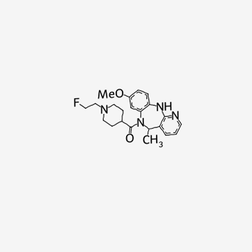 COc1ccc2c(c1)N(C(=O)C1CCN(CCF)CC1)C(C)c1cccnc1N2